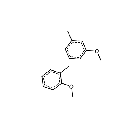 COc1cccc(C)c1.COc1ccccc1C